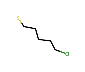 [S]CCCCCCl